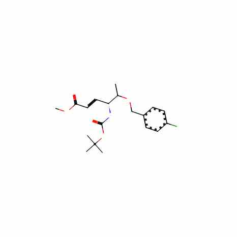 COC(=O)/C=C/[C@H](NC(=O)OC(C)(C)C)C(C)OCc1ccc(Br)cc1